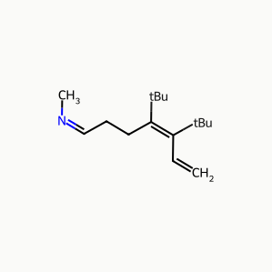 C=C/C(=C(\CC/C=N\C)C(C)(C)C)C(C)(C)C